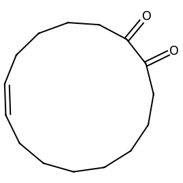 O=C1CCCCC=CCCCCCCCC1=O